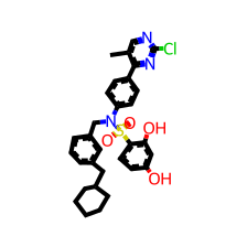 Cc1cnc(Cl)nc1-c1ccc(N(Cc2cccc(CC3CCCCC3)c2)S(=O)(=O)c2ccc(O)cc2O)cc1